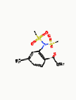 COC(=O)c1ccc(C(F)(F)F)cc1N(S(C)(=O)=O)S(C)(=O)=O